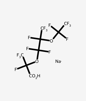 O=C(O)C(F)(OC(F)(F)C(F)(OC(F)(F)C(F)(F)F)C(F)(F)F)C(F)(F)F.[Na]